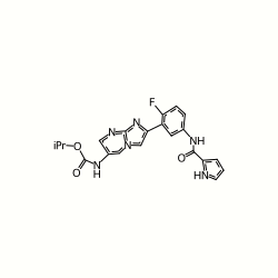 CC(C)OC(=O)Nc1cnc2nc(-c3cc(NC(=O)c4ccc[nH]4)ccc3F)cn2c1